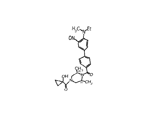 CCN(C)c1ccc(-c2ccc(C(=O)N3[C@H](C)CN(C(=O)C4(O)CC4)C[C@@H]3C)cc2)cc1N=O